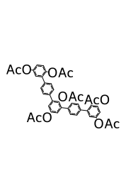 CC(=O)Oc1ccc(OC(C)=O)c(-c2ccc(-c3cc(OC(C)=O)cc(-c4ccc(-c5cc(OC(C)=O)ccc5OC(C)=O)cc4)c3OC(C)=O)cc2)c1